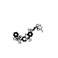 CN(C)CCNc1ccc(C(=O)N2CCC(NS(=O)(=O)c3ccccc3C(F)(F)F)CC2)c(F)c1